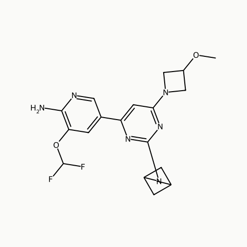 COC1CN(c2cc(-c3cnc(N)c(OC(F)F)c3)nc(N3CC4CC3C4)n2)C1